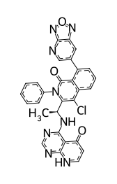 C[C@H](Nc1ncnc2[nH]ccc(=O)c12)c1c(Cl)c2cccc(-c3cnc4nonc4c3)c2c(=O)n1-c1ccccc1